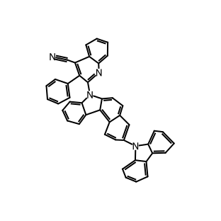 N#Cc1c(-c2ccccc2)c(-n2c3ccccc3c3c4ccc(-n5c6ccccc6c6ccccc65)cc4ccc32)nc2ccccc12